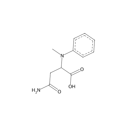 CN(c1ccccc1)C(CC(N)=O)C(=O)O